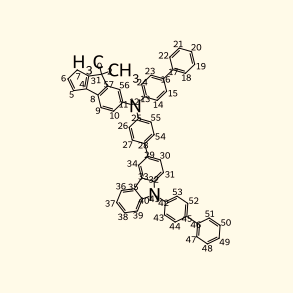 CC1(C)C2=C(C=CC2)c2ccc(N(c3ccc(-c4ccccc4)cc3)c3ccc(-c4ccc5c(c4)c4ccccc4n5-c4ccc(-c5ccccc5)cc4)cc3)cc21